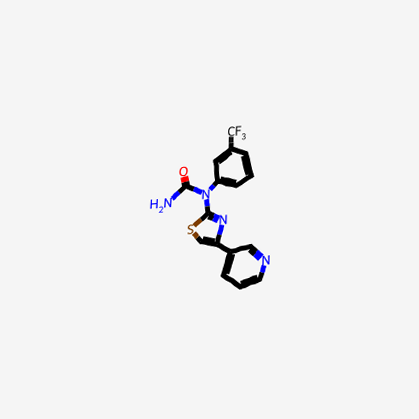 NC(=O)N(c1cccc(C(F)(F)F)c1)c1nc(-c2cccnc2)cs1